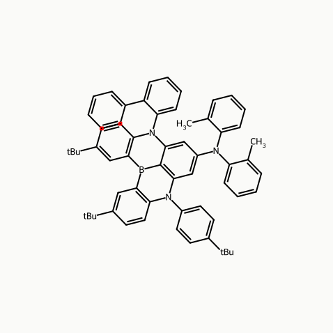 Cc1ccccc1N(c1cc2c3c(c1)N(c1ccccc1-c1ccccc1)c1ccc(C(C)(C)C)cc1B3c1cc(C(C)(C)C)ccc1N2c1ccc(C(C)(C)C)cc1)c1ccccc1C